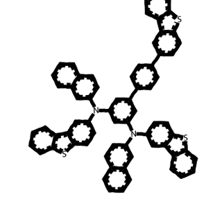 c1ccc2cc(N(c3cc(-c4ccc(-c5ccc6sc7ccccc7c6c5)cc4)cc(N(c4ccc5ccccc5c4)c4ccc5sc6ccccc6c5c4)c3)c3ccc4sc5ccccc5c4c3)ccc2c1